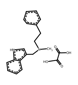 CN(CCc1ccccc1)Cc1c[nH]c2ccccc12.O=C(O)C(=O)O